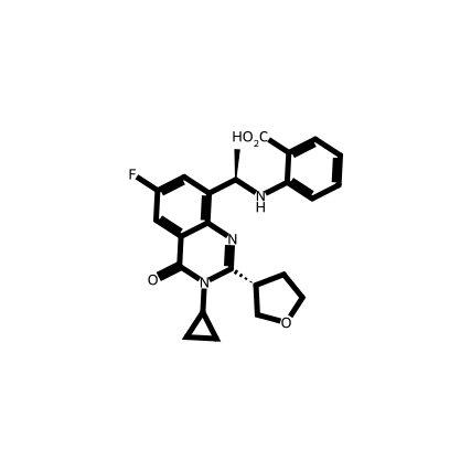 C[C@@H](Nc1ccccc1C(=O)O)c1cc(F)cc2c(=O)n(C3CC3)c([C@@H]3CCOC3)nc12